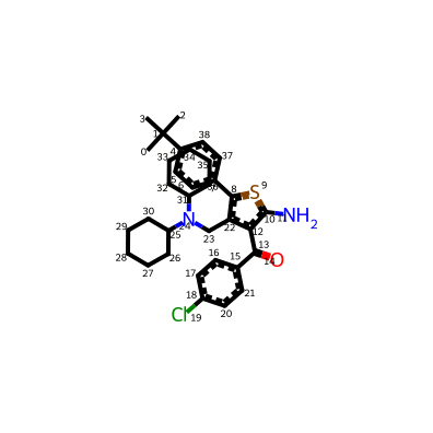 CC(C)(C)c1ccc(-c2sc(N)c(C(=O)c3ccc(Cl)cc3)c2CN(C2CCCCC2)C2CCCCC2)cc1